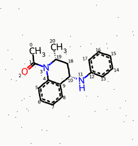 CC(=O)N1c2ccccc2[C@@H](Nc2ccccc2)C[C@H]1C